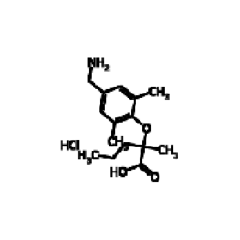 CCCC(C)(Oc1c(C)cc(CN)cc1C)C(=O)O.Cl